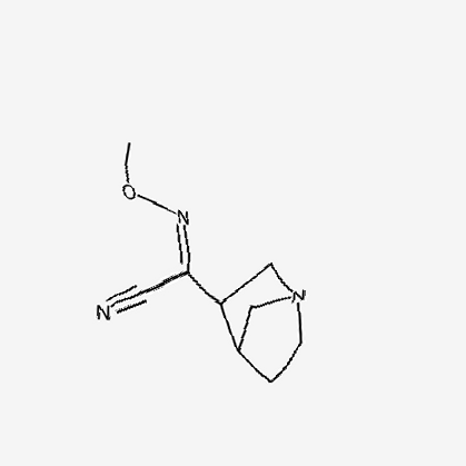 CO/N=C(\C#N)C1CN2CCC1C2